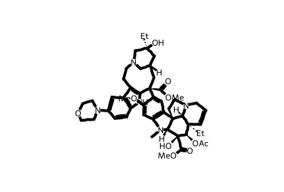 CC[C@]1(O)C[C@H]2CN(CCc3c([nH]c4ccc(N5CCOCC5)cc34)[C@@](C(=O)OC)(c3cc4c(cc3OC)N(C)[C@H]3[C@@](O)(C(=O)OC)[C@H](OC(C)=O)[C@]5(CC)C=CCN6CC[C@]43[C@@H]65)C2)C1